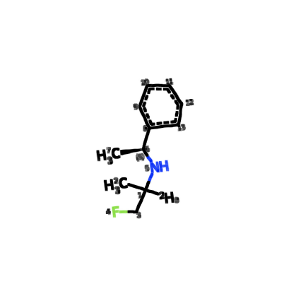 [2H]C(C)(CF)N[C@@H](C)c1ccccc1